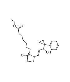 CCOC(=O)CCCCCCN1C(=O)CC[C@@H]1/C=C/C(O)C1(c2ccccc2)CC1